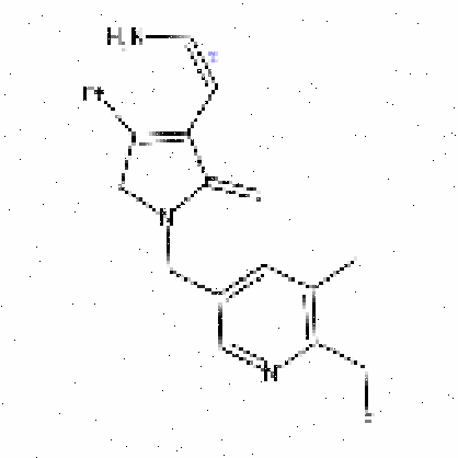 C=C1C(/C=C\N)=C(CC)CN1Cc1cnc(CF)c(C)c1